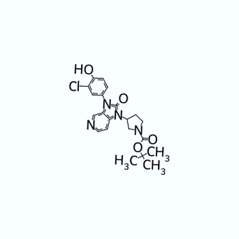 CC(C)(C)OC(=O)N1CCC(n2c(=O)n(-c3ccc(O)c(Cl)c3)c3cnccc32)C1